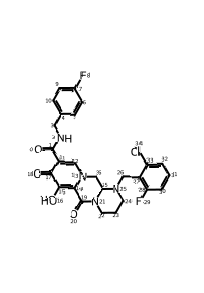 O=C(NCc1ccc(F)cc1)c1cn2c(c(O)c1=O)C(=O)N1CCCN(Cc3c(F)cccc3Cl)C1C2